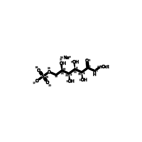 CCCCCCCCNC(=O)[C@H](O)[C@@H](O)[C@H](O)[C@H](O)COS(=O)(=O)[O-].[Na+]